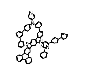 c1ccc(-c2ccc(-c3cc(-n4c5ccc(-c6cccc(N(c7ccncc7)c7ccc(-c8cccc(-c9ccccc9)c8)cc7)c6)cc5c5cc6sc7cc8c9ccccc9c9ccccc9c8cc7c6cc54)nc(-c4ccccc4)n3)cc2)cc1